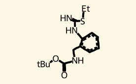 CCSC(=N)Nc1ccccc1CNC(=O)OC(C)(C)C